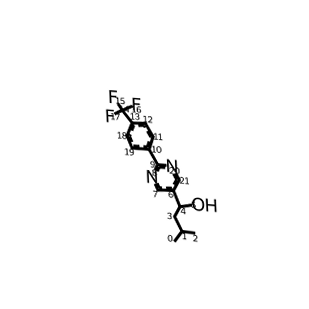 CC(C)CC(O)c1cnc(-c2ccc(C(F)(F)F)cc2)nc1